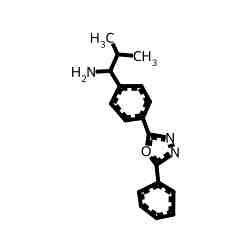 CC(C)C(N)c1ccc(-c2nnc(-c3ccccc3)o2)cc1